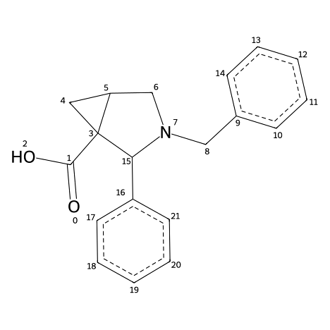 O=C(O)C12CC1CN(Cc1ccccc1)C2c1ccccc1